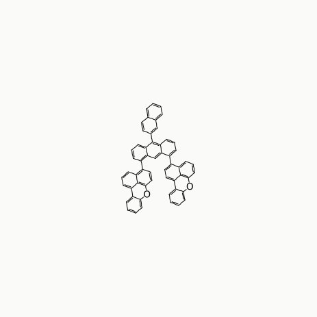 c1ccc2c(c1)Oc1ccc(-c3cccc4c(-c5ccc6ccccc6c5)c5cccc(-c6ccc7c8c(cccc68)Oc6ccccc6-7)c5cc34)c3cccc-2c13